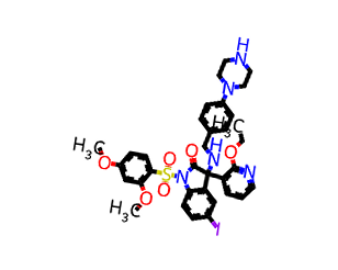 CCOc1ncccc1C1(NCc2ccc(N3CCNCC3)cc2)C(=O)N(S(=O)(=O)c2ccc(OC)cc2OC)c2ccc(I)cc21